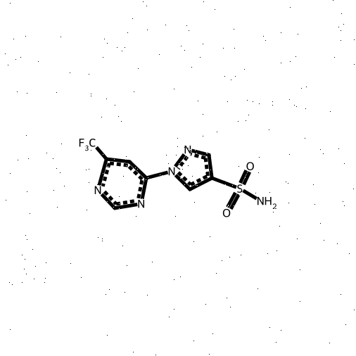 NS(=O)(=O)c1cnn(-c2cc(C(F)(F)F)ncn2)c1